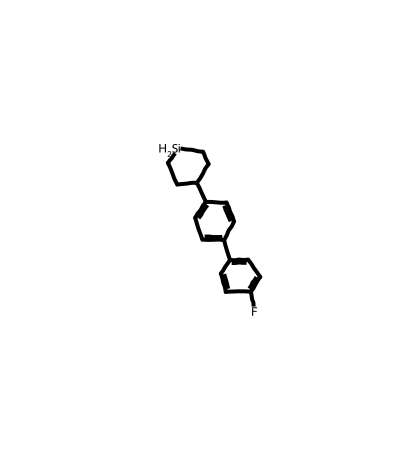 Fc1ccc(-c2ccc(C3CC[SiH2]CC3)cc2)cc1